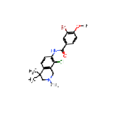 CCOc1ccc(C(=O)Nc2ccc3c(c2Cl)CN(C)CC3(C)C)cc1Br